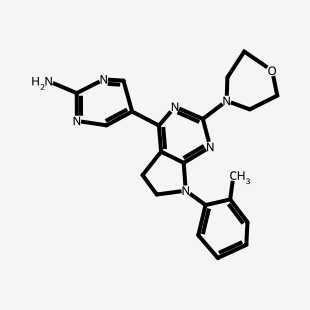 Cc1ccccc1N1CCc2c(-c3cnc(N)nc3)nc(N3CCOCC3)nc21